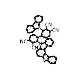 N#Cc1ccc(-c2ccc(C#N)c(C#N)c2-n2c3ccccc3c3c4c(ccc32)sc2ccccc24)c(-n2c3ccccc3c3ccccc32)c1C#N